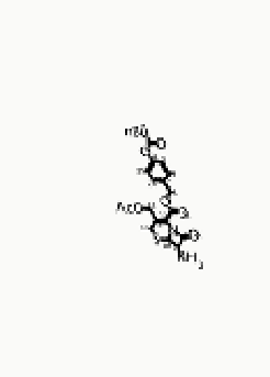 CCCCC(=O)Oc1ccc(COC(=O)C2=C(COC(C)=O)CSC3C(N)C(=O)N23)cc1